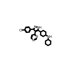 Clc1ccc(-c2n[nH]c(C3CCC(NC4CCCCC4)CC3)c2-c2ccncn2)cc1